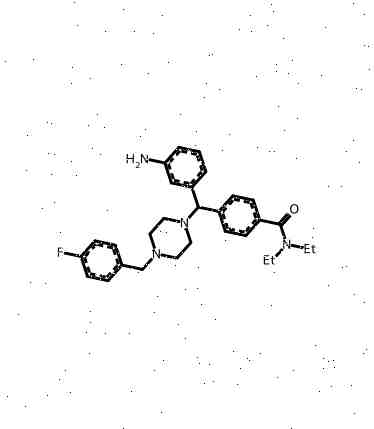 CCN(CC)C(=O)c1ccc(C(c2cccc(N)c2)N2CCN(Cc3ccc(F)cc3)CC2)cc1